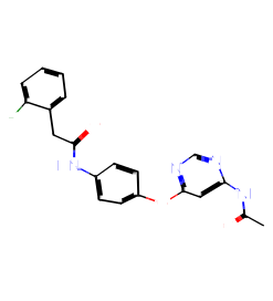 CC(=O)Nc1cc(Oc2ccc(NC(=O)Cc3ccccc3F)cc2)ncn1